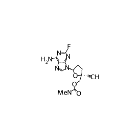 C#C[C@@]1(COC(=O)NC)CC[C@H](n2cnc3c(N)nc(F)nc32)O1